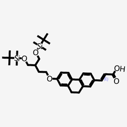 CC(C)(C)[Si](C)(C)OCC(CCOc1ccc2c(c1)CCc1cc(/C=C/C(=O)O)ccc1-2)CO[Si](C)(C)C(C)(C)C